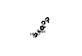 Cc1cc(NC(=O)Oc2cn[nH]c2)ccc1N1CCC(N2CCCC2C)C1